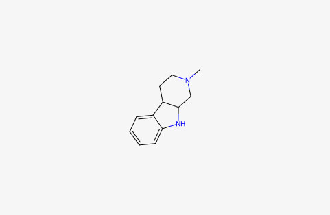 CN1CCC2c3ccccc3NC2C1